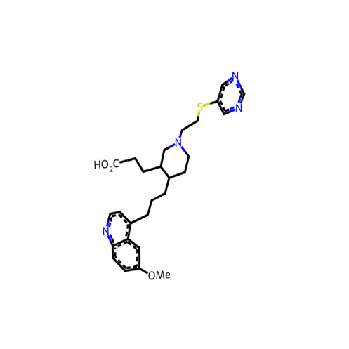 COc1ccc2nccc(CCCC3CCN(CCSc4cncnc4)CC3CCC(=O)O)c2c1